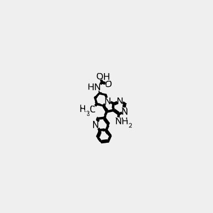 CC1C[C@H](NC(=O)O)Cn2c1c(-c1cnc3ccccc3c1)c1c(N)ncnc12